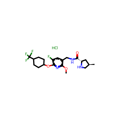 COc1nc(OC2CCC(C(F)(F)F)CC2)c(F)cc1CNC(=O)[C@@H]1C[C@@H](C)CN1.Cl